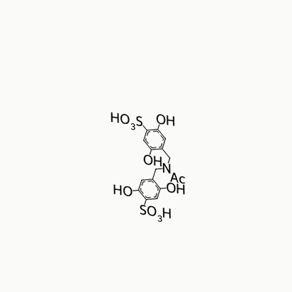 CC(=O)N(Cc1cc(O)c(S(=O)(=O)O)cc1O)Cc1cc(O)c(S(=O)(=O)O)cc1O